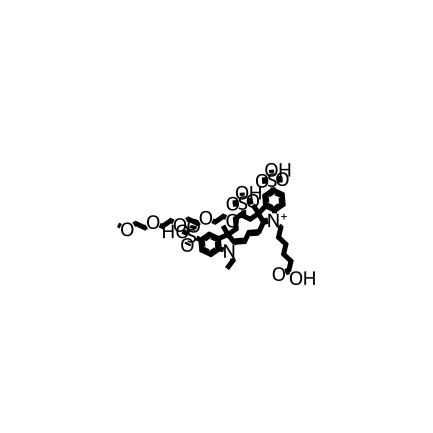 CCN1/C(=C/C=C/C2=[N+](CCCCCC(=O)O)c3ccc(S(=O)(=O)O)cc3C2(C)CCOCCOCCOCCOCCOC)C(C)(CCCS(=O)(=O)O)c2cc(S(=O)(=O)O)ccc21